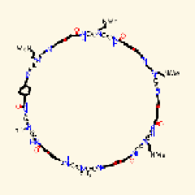 CCCN1CCNC(=O)c2ccc(cc2)/C=N/CCN(CCNC)CC/N=C/c2ccc(cc2)C(=O)NCCN(CCNC)CCNC(=O)c2ccc(cc2)/C=N/CCN(CCNC)CC/N=C/c2ccc(cc2)C(=O)NCCN(CCNC)CCNC(=O)c2ccc(cc2)/C=N/CCN(C)CCNCc2ccc(cc2)C(=O)NCC1